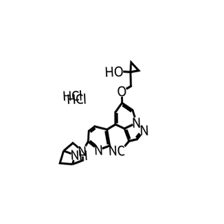 Cl.Cl.N#Cc1cnn2cc(OCC3(O)CC3)cc(-c3ccc(N4CC5CC(C4)N5)nc3)c12